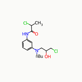 CCCCN(CC(O)CCl)c1cccc(NC(=O)C(C)Cl)c1